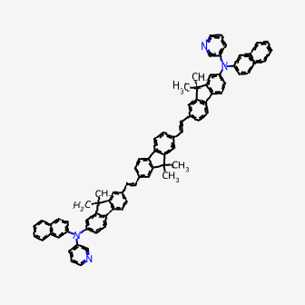 CC1(C)c2cc(/C=C/c3ccc4c(c3)C(C)(C)c3cc(N(c5cccnc5)c5ccc6ccccc6c5)ccc3-4)ccc2-c2ccc(/C=C/c3ccc4c(c3)C(C)(C)c3cc(N(c5cccnc5)c5ccc6ccccc6c5)ccc3-4)cc21